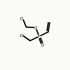 C=CP(=O)(CCl)OCCl